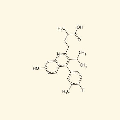 Cc1cc(-c2c(C(C)C)c(CCC(C)C(=O)O)nc3cc(O)ccc23)ccc1F